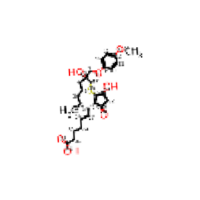 CCCCCC(O)(COc1ccc(OC)cc1)CS[C@H]1C(O)CC(=O)[C@@H]1CCCCCCC(=O)O